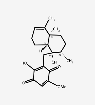 COC1=CC(=O)C(O)=C(C[C@]2(C)[C@@H](C)CC[C@]3(C)C(C)=CCC[C@@H]23)C1=O